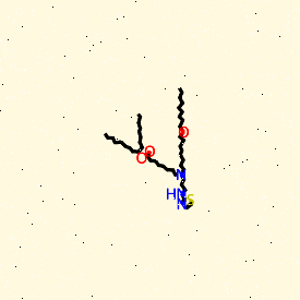 CCCCCCCCCOCCCCCCCCN(CCCCCCCC(=O)OC(CCCCCCCC)CCCCCCCC)CCCNc1nccs1